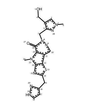 Cn1cc(CO)c(Cn2ncc3c4sc(Cc5cc[nH]n5)nc4n(C)c3c2=O)n1